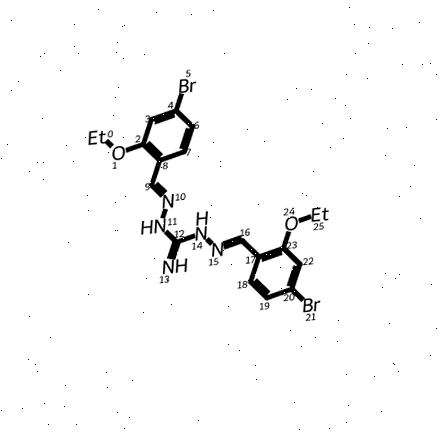 CCOc1cc(Br)ccc1C=NNC(=N)NN=Cc1ccc(Br)cc1OCC